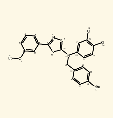 CCOc1cccc(-c2nnc(N(Cc3ccc(C(C)(C)C)cc3)c3ccc(Cl)c(Cl)c3)s2)c1